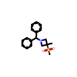 CC1(S(C)(=O)=O)CN(C(c2ccccc2)c2ccccc2)C1